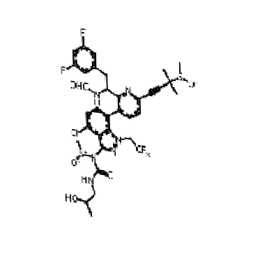 CC(O)CNC(=O)N(c1nn(CC(F)(F)F)c2c(-c3ccc(C#CC(C)(C)[S+](C)[O-])nc3C(Cc3cc(F)cc(F)c3)NC=O)ccc(Cl)c12)[S+](C)[O-]